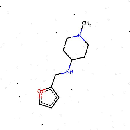 CN1CCC(NCc2ccco2)CC1